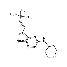 C[Si](C)(C)/C=C/c1cnc2ccc(NC3CCOCC3)nn12